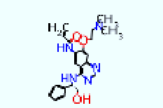 C=CC(=O)Nc1cc2c(N[C@H](CO)c3ccccc3)ncnc2cc1OCCN(C)C